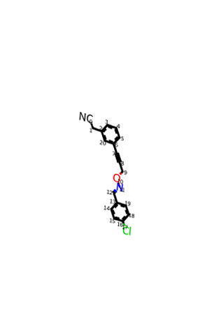 N#CCc1cccc(C#CCO/N=C/c2ccc(Cl)cc2)c1